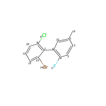 Cc1ccc(F)c(-c2c(Cl)cccc2Br)c1